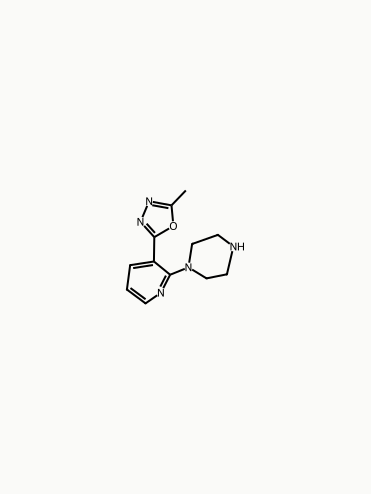 Cc1nnc(-c2cccnc2N2CCNCC2)o1